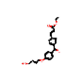 CCOC(=O)C=Cc1ccc(C(=O)c2ccc(OCCCCO)cc2)cc1